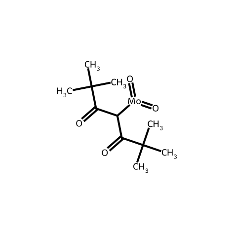 CC(C)(C)C(=O)[CH](C(=O)C(C)(C)C)[Mo](=[O])=[O]